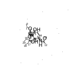 CCOC(=O)[C@]1(O)C=C[C@@H](NC(C)=O)[C@@H]2OC(CC)(CC)O[C@@H]21